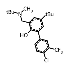 CN(Cc1cc(C(C)(C)C)cc(-c2ccc(Cl)c(C(F)(F)F)c2)c1O)C(C)(C)C